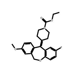 CCOC(=O)N1CCC(=C2c3ccc(OC)cc3COc3ccc(F)cc32)CC1